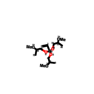 C=C[Si](OCC(C)OC)(OCC(C)OC)OCC(C)OC